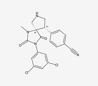 CN1C(=O)N(c2cc(Cl)cc(Cl)c2)C(=O)[C@@]12CNC[C@@H]2c1ccc(C#N)cc1